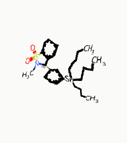 CCC[CH2][Sn]([CH2]CCC)([CH2]CCC)[c]1cccc([C@H]2c3ccccc3S(=O)(=O)N2C)c1